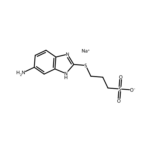 Nc1ccc2nc(SCCCS(=O)(=O)[O-])[nH]c2c1.[Na+]